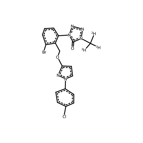 [2H]C([2H])([2H])n1nnn(-c2cccc(Br)c2COc2ccn(-c3ccc(Cl)cc3)n2)c1=O